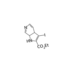 CCOC(=O)C1=C(I)C2C=CN=CC2N1